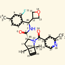 O=C(N[C@@H](c1ccc(C(F)(F)F)cc1F)C1COC1)[C@H]1C[C@H]2C#C[C@H]2N1C(=O)c1ccnc(C(F)(F)F)c1